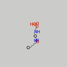 O=[PH](O)OCCCNCc1ccc(-c2noc(CCCCCc3ccccc3)n2)cc1